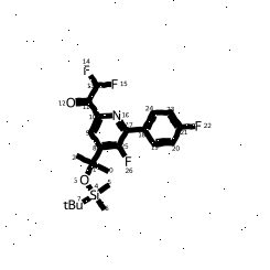 CC(C)(O[Si](C)(C)C(C)(C)C)c1cc(C(=O)C(F)F)nc(-c2ccc(F)cc2)c1F